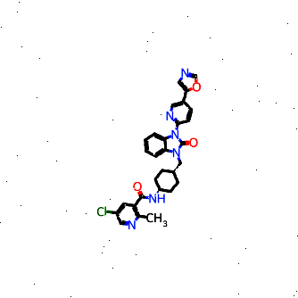 Cc1ncc(Cl)cc1C(=O)N[C@H]1CC[C@H](Cn2c(=O)n(-c3ccc(-c4cnco4)cn3)c3ccccc32)CC1